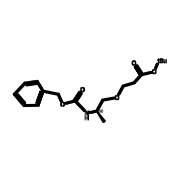 C[C@H](COCCC(=O)OC(C)(C)C)NC(=O)OCc1ccccc1